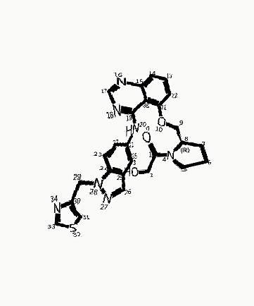 O=C(CO)N1CCC[C@@H]1COc1cccc2ncnc(Nc3ccc4c(cnn4Cc4cscn4)c3)c12